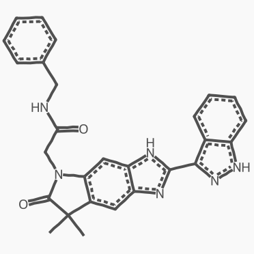 CC1(C)C(=O)N(CC(=O)NCc2ccccc2)c2cc3[nH]c(-c4n[nH]c5ccccc45)nc3cc21